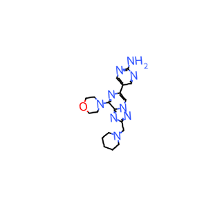 Nc1ncc(-c2cn3nc(CN4CCCCC4)nc3c(N3CCOCC3)n2)cn1